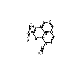 C#CC1C=Cc2cccc3cccc1c23.N=C=S